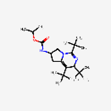 CC(C)OC(=O)NC1CC2=C(C(C)(C)C)C(C(C)(C)C)N=C(C(C)(C)C)N2C1